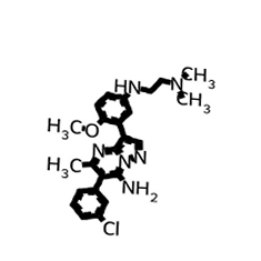 COc1ccc(NCCN(C)C)cc1-c1cnn2c(N)c(-c3cccc(Cl)c3)c(C)nc12